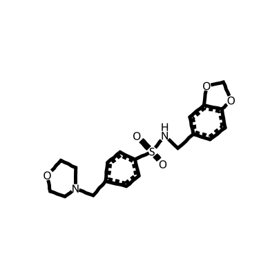 O=S(=O)(NCc1ccc2c(c1)OCO2)c1ccc(CN2CCOCC2)cc1